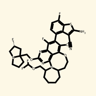 N#Cc1c(N)sc2c(F)ccc(-c3c(Cl)c4c5c(nc(OCC67CCCN6C[C@H](F)C7)nc5c3F)N3C(CCCCC3COC(F)F)CCO4)c12